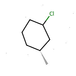 C[C@@H]1CCCC(Cl)C1